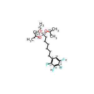 CO[Si](CCCCCCc1cc(F)c(F)c(F)c1F)(OC(C)C)OC(C)C